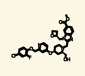 COC(=O)c1ccc2nc(CN3CC[C@H](Oc4ccnc(COc5ccc(Cl)cc5F)c4)C[C@@H]3CO)n(C[C@@H]3CCO3)c2c1